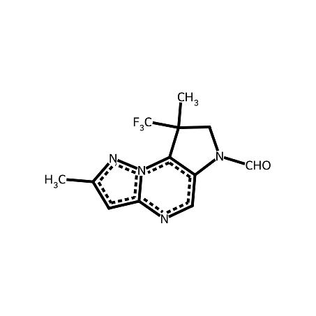 Cc1cc2ncc3c(n2n1)C(C)(C(F)(F)F)CN3C=O